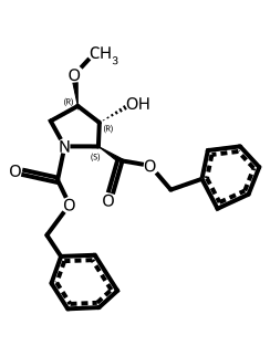 CO[C@@H]1CN(C(=O)OCc2ccccc2)[C@H](C(=O)OCc2ccccc2)[C@H]1O